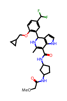 COCC(=O)NC1CCC(NC(=O)C2=C(C)NC(c3cc(C(F)F)ccc3OCC3CC3)c3cc[nH]c32)C1